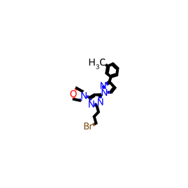 Cc1cccc(-c2ccn(-c3cc(N4CCOCC4)nc(CCCBr)n3)n2)c1